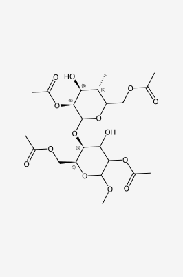 COC1O[C@@H](COC(C)=O)[C@@H](OC2OC(COC(C)=O)[C@@H](C)[C@H](O)[C@@H]2OC(C)=O)C(O)C1OC(C)=O